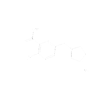 COC(=O)c1cc(CN2CC[C@H](OC)C2)ccc1[N+](=O)[O-]